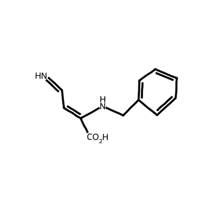 N=C/C=C(\NCc1ccccc1)C(=O)O